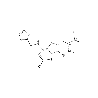 C[C@H](F)[C@H](N)Cc1sc2c(NCc3nccs3)cc(Cl)nc2c1Br